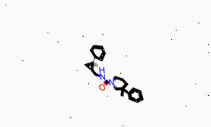 CC1(c2ccccc2)CCCN(C(=O)NCC2C[C@@H]2C2C=CC=CC2)C1